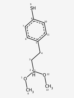 CO[SiH](CCc1ccc(S)cc1)OC